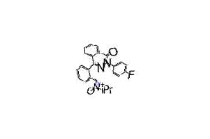 CC(C)/[N+]([O-])=C/c1ccccc1-c1nn(-c2ccc(F)cc2)c(=O)c2ccccc12